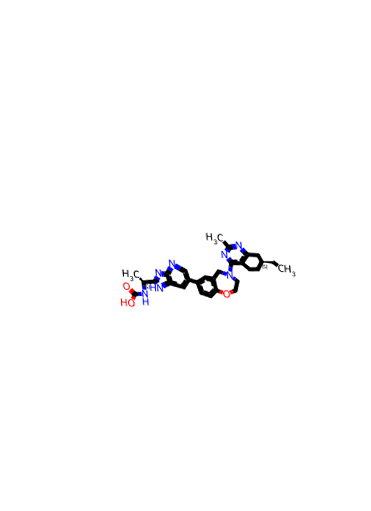 CC[C@H]1CCc2c(nc(C)nc2N2CCOc3ccc(-c4cnc5nc([C@H](C)NC(=O)O)[nH]c5c4)cc3C2)C1